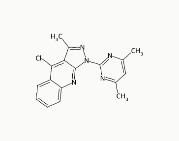 Cc1cc(C)nc(-n2nc(C)c3c(Cl)c4ccccc4nc32)n1